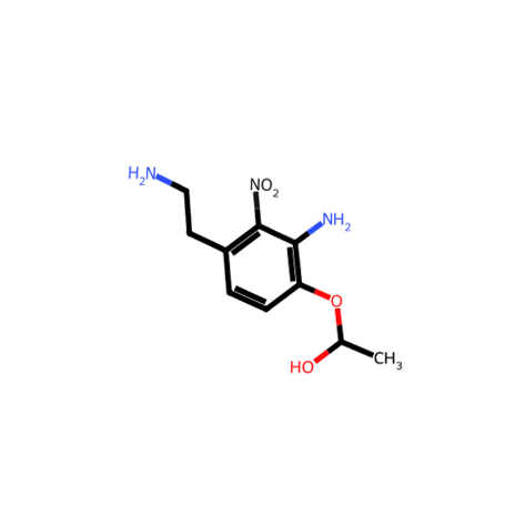 CC(O)Oc1ccc(CCN)c([N+](=O)[O-])c1N